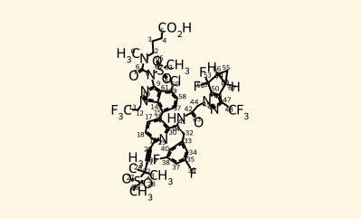 CN(CCCC(=O)O)C(=O)N(c1nn(CC(F)(F)F)c2c(-c3ccc(C#CC(C)(C)S(C)(=O)=O)nc3[C@H](Cc3cc(F)cc(F)c3)NC(=O)Cn3nc(C(F)(F)F)c4c3C(F)(F)[C@@H]3C[C@H]43)ccc(Cl)c12)S(C)(=O)=O